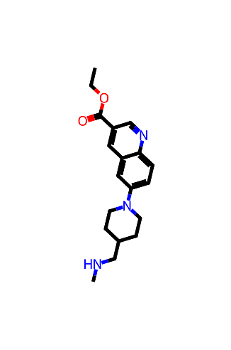 CCOC(=O)c1cnc2ccc(N3CCC(CNC)CC3)cc2c1